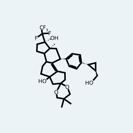 CC1(C)COC2(CCC3=C4C(CCC3(O)C2)C2CC[C@@](O)(C(F)(F)C(F)(F)F)[C@@]2(C)C[C@@H]4c2ccc([C@@H]3C[C@H]3CO)cc2)OC1